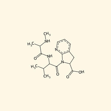 CNC(C)C(=O)NC(C(=O)N1c2ncccc2CC1C(=O)O)C(C)C